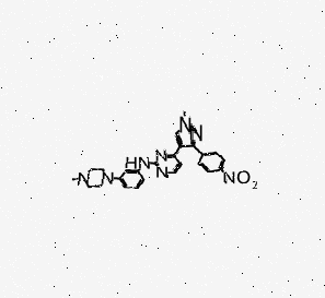 CN1CCN(c2cccc(Nc3nccc(-c4cn(C)nc4-c4ccc([N+](=O)[O-])cc4)n3)c2)CC1